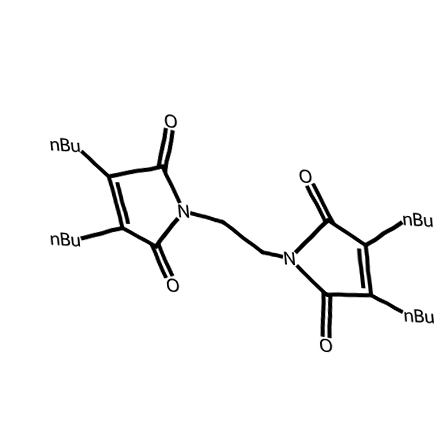 CCCCC1=C(CCCC)C(=O)N(CCN2C(=O)C(CCCC)=C(CCCC)C2=O)C1=O